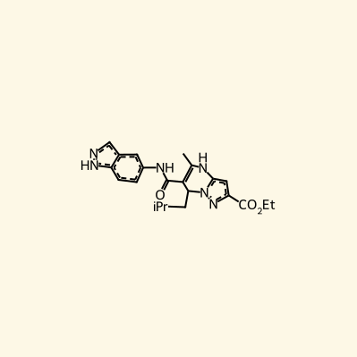 CCOC(=O)c1cc2n(n1)C(CC(C)C)C(C(=O)Nc1ccc3[nH]ncc3c1)=C(C)N2